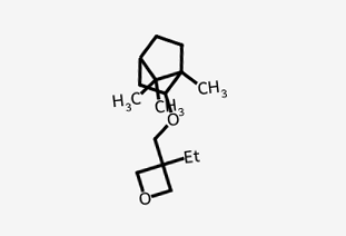 CCC1(COC2CC3CCC2(C)C3(C)C)COC1